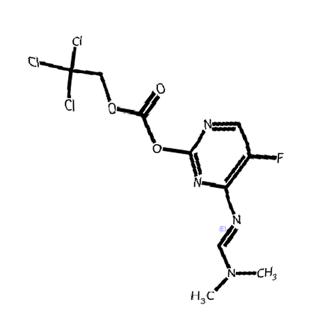 CN(C)/C=N/c1nc(OC(=O)OCC(Cl)(Cl)Cl)ncc1F